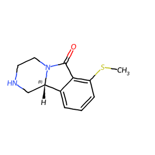 CSc1cccc2c1C(=O)N1CCNC[C@@H]21